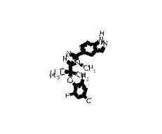 Cn1c(-c2ccc3[nH]ncc3c2)nnc1C(C)(C)Oc1c(F)cc(Cl)cc1F